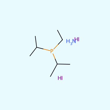 CCP(C(C)C)C(C)C.I.I.N